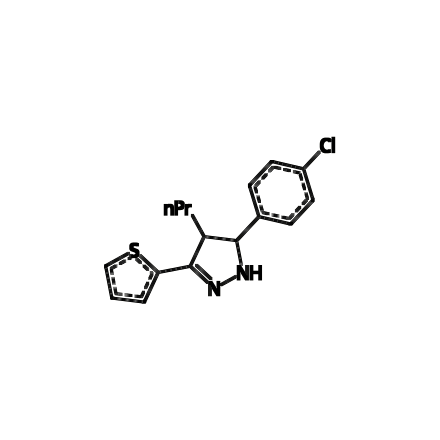 CCCC1C(c2cccs2)=NNC1c1ccc(Cl)cc1